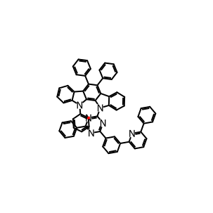 c1ccc(-c2cccc(-c3cccc(-c4nc(-c5ccccc5)nc(-n5c6ccccc6c6c(-c7ccccc7)c(-c7ccccc7)c7c8ccccc8n(-c8ccccc8)c7c65)n4)c3)n2)cc1